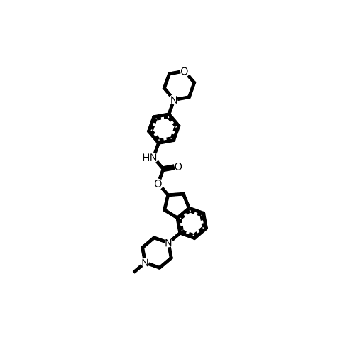 CN1CCN(c2cccc3c2CC(OC(=O)Nc2ccc(N4CCOCC4)cc2)C3)CC1